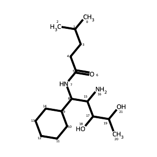 CC(C)CCC(=O)NC(C1CCCCC1)C(N)C(O)C(C)O